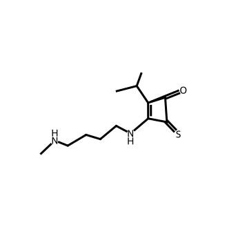 CNCCCCNc1c(C(C)C)c(=O)c1=S